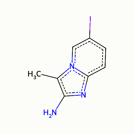 Cc1c(N)nc2ccc(I)cn12